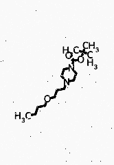 CCCCOCCCN1CCN(C(=O)OC(C)(C)C)CC1